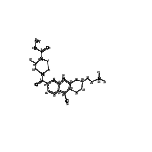 CCCOC(=O)N1CCN(C(=O)c2ccc3c(Cl)c4c(nc3c2)CC(CCN(C)C)CC4)CC1C